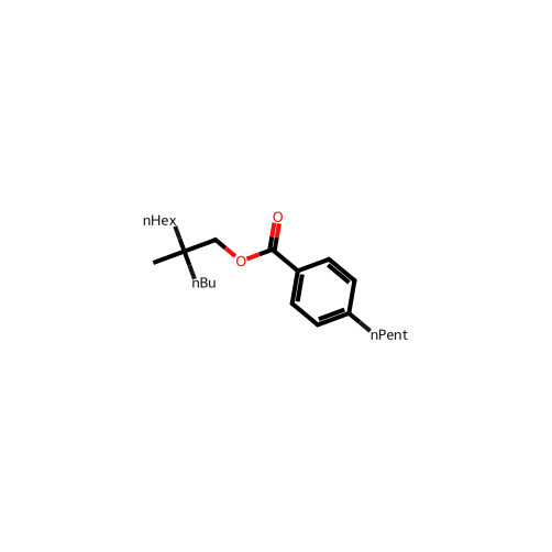 CCCCCCC(C)(CCCC)COC(=O)c1ccc(CCCCC)cc1